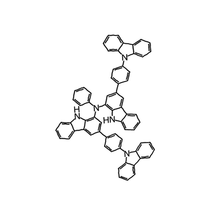 c1ccc(N(c2cc(-c3ccc(-n4c5ccccc5c5ccccc54)cc3)cc3c2[nH]c2ccccc23)c2cc(-c3ccc(-n4c5ccccc5c5ccccc54)cc3)cc3c2[nH]c2ccccc23)cc1